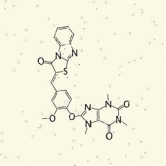 COc1cc(/C=c2\sc3nc4ccccc4n3c2=O)ccc1Oc1nc2c(c(=O)n(C)c(=O)n2C)n1C